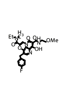 CCN(C)C(=O)C1=Cn2c(=O)c(C(=O)NCCOC)c(O)c3ncc(Cc4ccc(F)cc4)c(c32)O1